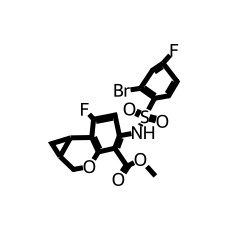 COC(=O)c1c(NS(=O)(=O)c2ccc(F)cc2Br)cc(F)c2c1OCC1CC21